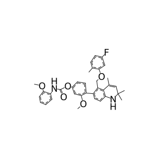 COc1ccccc1NC(=O)Oc1ccc(-c2ccc3c(c2COc2cc(F)ccc2C)C(C)=CC(C)(C)N3)c(OC)c1